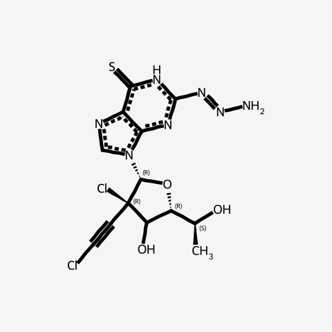 C[C@H](O)[C@H]1O[C@@H](n2cnc3c(=S)[nH]c(N=NN)nc32)[C@@](Cl)(C#CCl)C1O